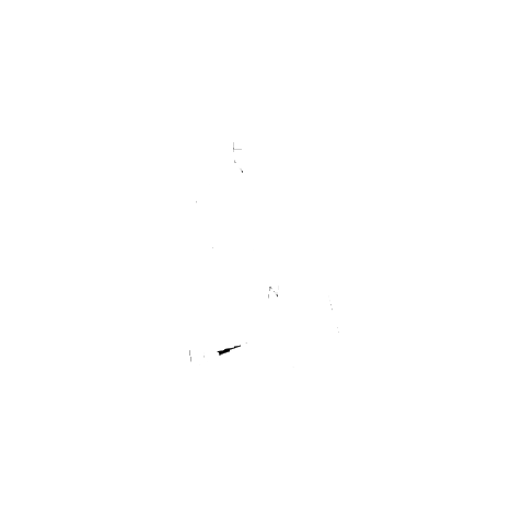 C[C@@H]1CCCN1C1=CCNC1